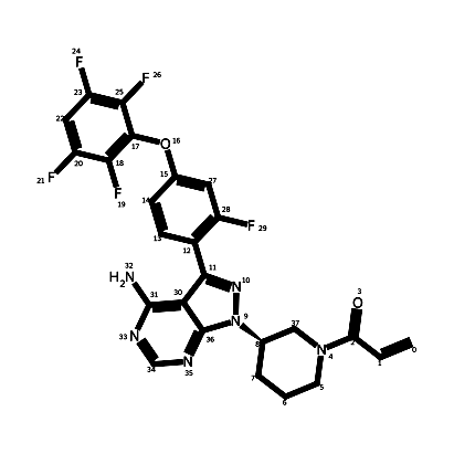 C=CC(=O)N1CCC[C@@H](n2nc(-c3ccc(Oc4c(F)c(F)cc(F)c4F)cc3F)c3c(N)ncnc32)C1